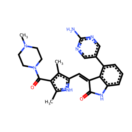 Cc1[nH]c(C=C2C(=O)Nc3cccc(-c4cnc(N)nc4)c32)c(C)c1C(=O)N1CCN(C)CC1